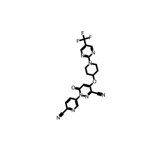 N#Cc1ccc(-n2nc(C#N)c(OC3CCN(c4ncc(C(F)(F)F)cn4)CC3)cc2=O)cn1